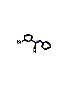 N#C/C(=C\c1ccccc1)c1cccc(Br)c1